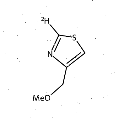 [2H]c1nc(COC)cs1